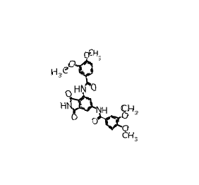 COc1ccc(C(=O)Nc2cc(NC(=O)c3ccc(OC)c(OC)c3)c3c(c2)C(=O)NC3=O)cc1OC